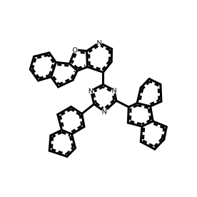 c1ccc2cc(-c3nc(-c4cc5ccccc5c5ccccc45)nc(-c4ccnc5oc6c7ccccc7ccc6c45)n3)ccc2c1